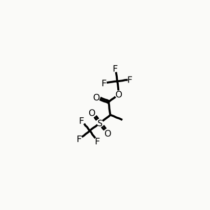 CC(C(=O)OC(F)(F)F)S(=O)(=O)C(F)(F)F